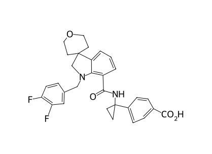 O=C(O)c1ccc(C2(NC(=O)c3cccc4c3N(Cc3ccc(F)c(F)c3)CC43CCOCC3)CC2)cc1